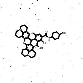 NC1CCC(NC(=O)c2cc(Cl)c(C3=c4cc5c6c(c4Oc4c3cc3c7c4CCCN7CCC3)CCC[N+]=6CCC5)c(C(=O)O)c2Cl)CC1